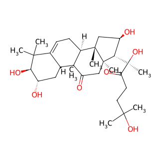 CC(C)(O)CCC(=O)[C@](C)(O)[C@H]1[C@H](O)C[C@@]2(C)[C@@H]3CC=C4[C@@H](C[C@H](O)[C@@H](O)C4(C)C)[C@]3(C)C(=O)C[C@]12C